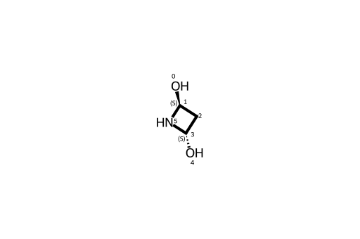 O[C@H]1C[C@H](O)N1